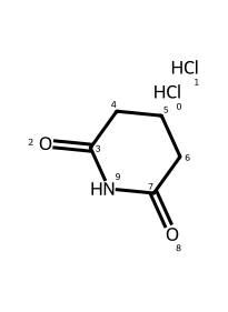 Cl.Cl.O=C1CCCC(=O)N1